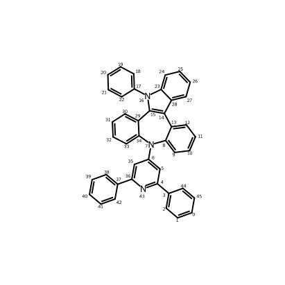 c1ccc(-c2cc(N3c4ccccc4-c4c(n(-c5ccccc5)c5ccccc45)-c4ccccc43)cc(-c3ccccc3)n2)cc1